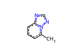 Cc1cccc2n[c]nn12